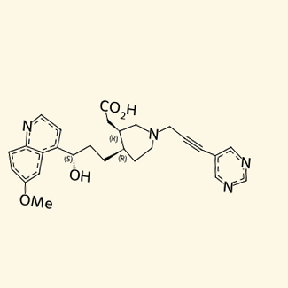 COc1ccc2nccc([C@@H](O)CC[C@@H]3CCN(CC#Cc4cncnc4)C[C@@H]3CC(=O)O)c2c1